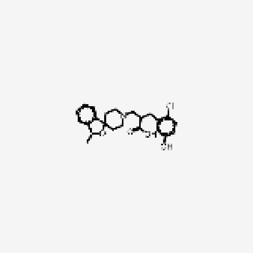 CC1OC2(CCN(CC(Cc3cc(O)ccc3Cl)C(=O)O)CC2)c2ccccc21